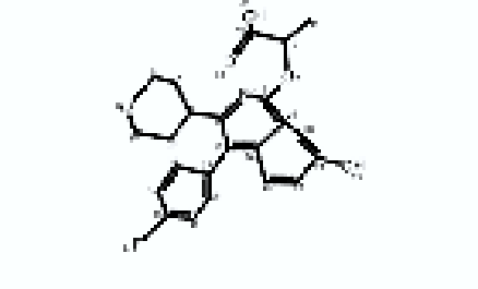 CC(Oc1nc(C2CCOCC2)c(-c2ccc(F)cc2)c2ccc(O)cc12)C(=O)O